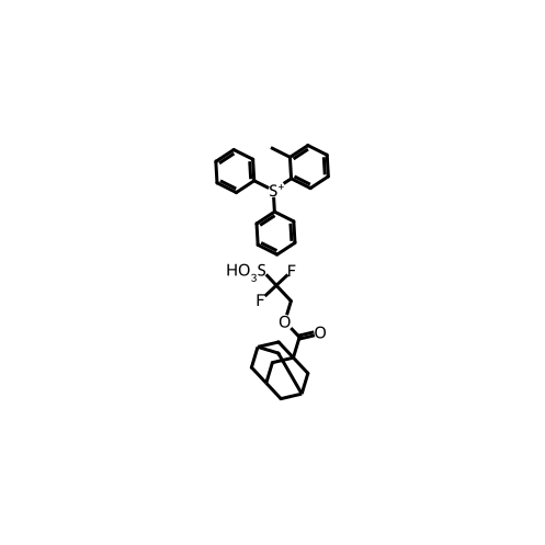 Cc1ccccc1[S+](c1ccccc1)c1ccccc1.O=C(OCC(F)(F)S(=O)(=O)O)C12CC3CC(CC(C3)C1)C2